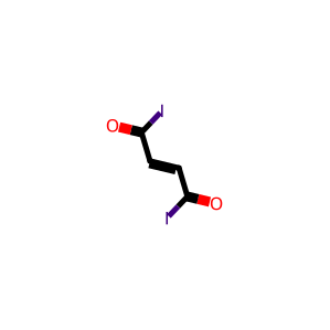 O=C(I)C=CC(=O)I